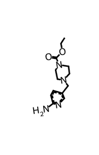 CCOC(=O)N1CCN(Cc2ccc(N)nc2)CC1